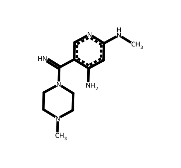 CNc1cc(N)c(C(=N)N2CCN(C)CC2)cn1